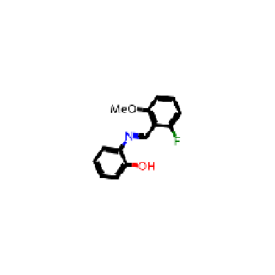 COc1cccc(F)c1C=Nc1ccccc1O